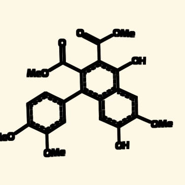 COC(=O)c1c(C(=O)OC)c(-c2ccc(OC)c(OC)c2)c2cc(O)c(OC)cc2c1O